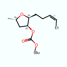 CC/C=C\CC[C@@H]1O[C@@H](C)C[C@@H]1OC(=O)OC(C)(C)C